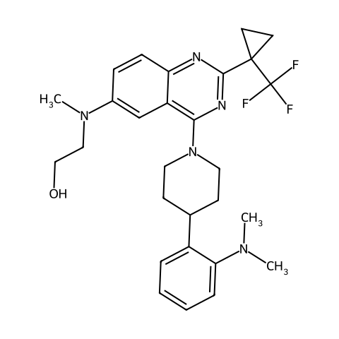 CN(C)c1ccccc1C1CCN(c2nc(C3(C(F)(F)F)CC3)nc3ccc(N(C)CCO)cc23)CC1